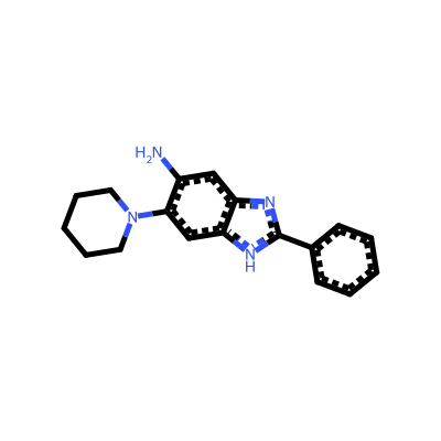 Nc1cc2nc(-c3ccccc3)[nH]c2cc1N1CCCCC1